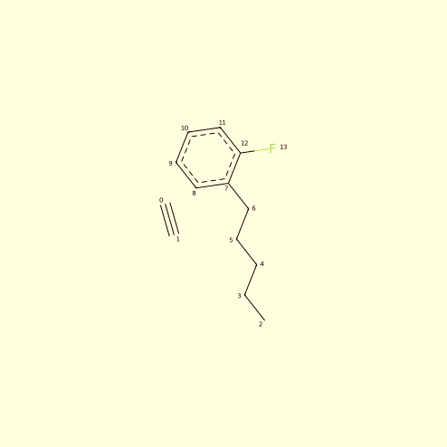 C#C.CCCCCc1ccccc1F